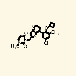 Cc1cc(Cl)cc(-c2ccnc3cc(Cn4c(=O)ccn(C)c4=O)sc23)c1OC1CCC1